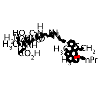 C=CC1=C(C2=C(C#CCCC)[C@H]2C)/C(=C2\c3c(ccc4ccccc34)CC2C)C2=C(C=C[C@@H](C#CCCn3cc(CCC(=O)N[C@@H](CC(=O)O)C(=O)NCC(=O)N[C@@H](CCC(=O)O)C(=O)N[C@@H](C)C(N)=O)nn3)C2)S1